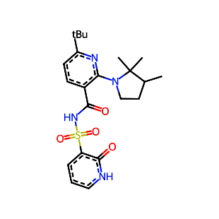 CC1CCN(c2nc(C(C)(C)C)ccc2C(=O)NS(=O)(=O)c2ccc[nH]c2=O)C1(C)C